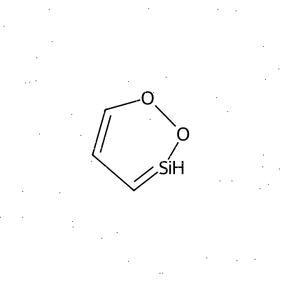 C1=COO[SiH]=C1